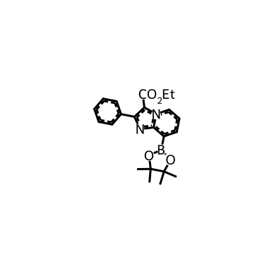 CCOC(=O)c1c(-c2ccccc2)nc2c(B3OC(C)(C)C(C)(C)O3)cccn12